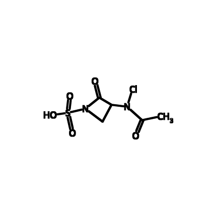 CC(=O)N(Cl)C1CN(S(=O)(=O)O)C1=O